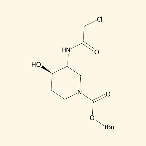 CC(C)(C)OC(=O)N1CC[C@@H](O)[C@H](NC(=O)CCl)C1